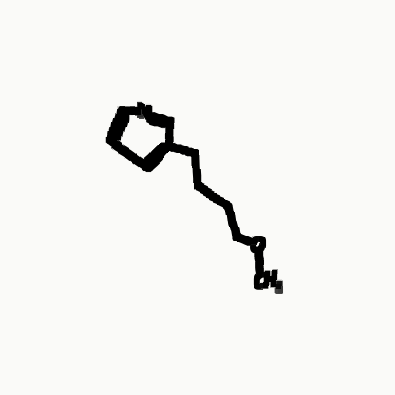 COCCCCc1cccnc1